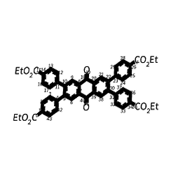 CCOC(=O)c1ccc(-c2cc3c(cc2-c2ccc(C(=O)OCC)cc2)C(=O)c2cc(-c4ccc(C(=O)OCC)cc4)c(-c4ccc(C(=O)OCC)cc4)cc2C3=O)cc1